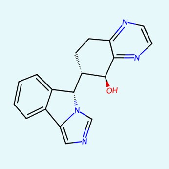 O[C@@H]1c2nccnc2CC[C@H]1[C@H]1c2ccccc2-c2cncn21